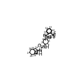 O=C(NC1CCN(S(=O)(=O)c2ccccc2C(F)(F)F)CC1)NC12CC3CCCC(C3)(C1)C2